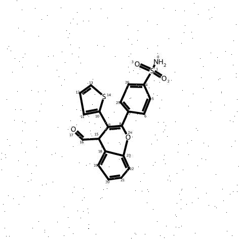 NS(=O)(=O)c1ccc(C2=C(c3cccs3)C(C=O)c3ccccc3O2)cc1